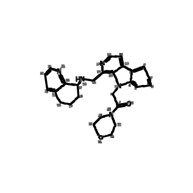 O=C(Cn1c2ccccc2c2ccnc(CN[C@H]3CCCc4cccnc43)c21)N1CCOCC1